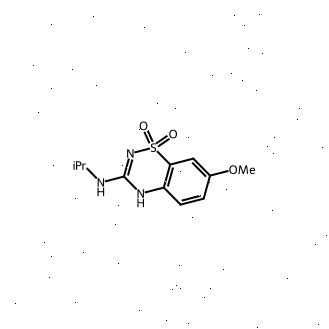 COc1ccc2c(c1)S(=O)(=O)N=C(NC(C)C)N2